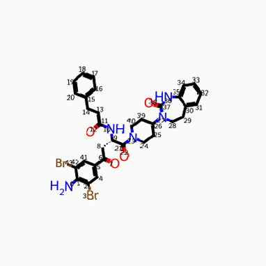 Nc1c(Br)cc(C(=O)C[C@H](NC(=O)CCc2ccccc2)C(=O)N2CCC(N3CCc4ccccc4NC3=O)CC2)cc1Br